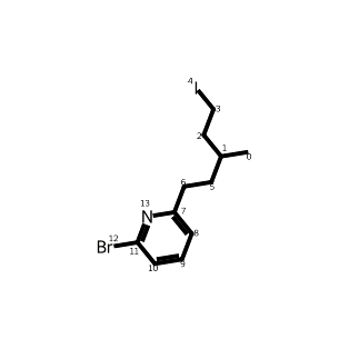 CC(CCI)CCc1cccc(Br)n1